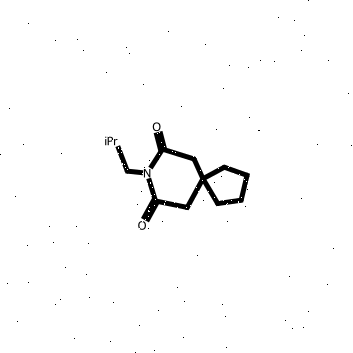 CC(C)CN1C(=O)CC2(CCCC2)CC1=O